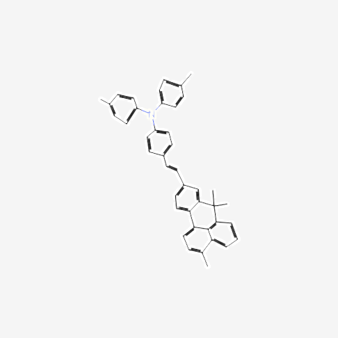 Cc1ccc(N(c2ccc(C)cc2)c2ccc(/C=C/c3ccc4c(c3)C(C)(C)c3cccc5c(C)ccc-4c35)cc2)cc1